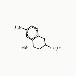 Br.CCOC(=O)C1CCc2cc(N)ccc2C1